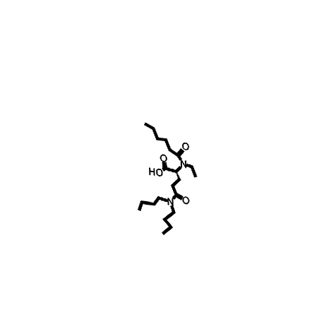 CCCCCC(=O)N(CC)[C@@H](CCC(=O)N(CCCC)CCCC)C(=O)O